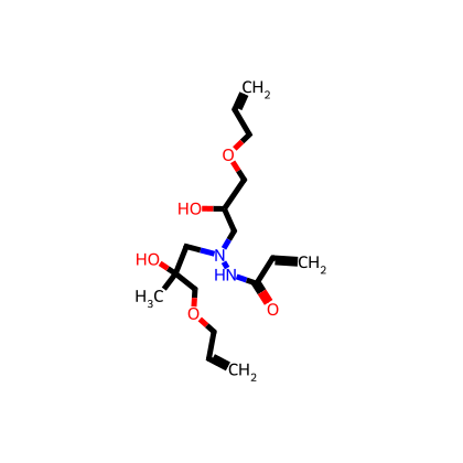 C=CCOCC(O)CN(CC(C)(O)COCC=C)NC(=O)C=C